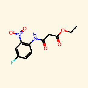 CCOC(=O)CC(=O)Nc1ccc(F)cc1[N+](=O)[O-]